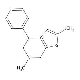 Cc1cc2c(s1)CN(C)CC2c1ccccc1